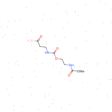 BC(=O)CCNC(=O)OCCNC(=O)OC